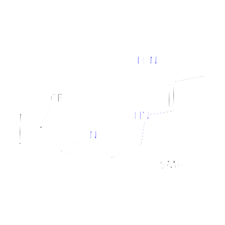 CSC(C/N=C/C1(C(F)(F)F)CC1)N/C(C)=C(/C)N